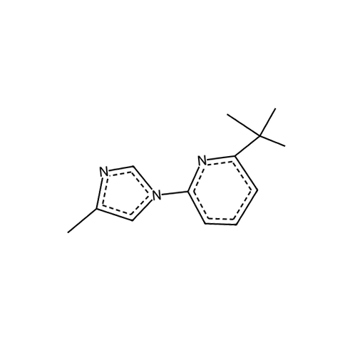 Cc1cn(-c2cccc(C(C)(C)C)n2)cn1